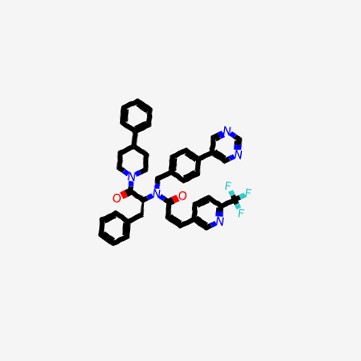 O=C([C@H](Cc1ccccc1)N(Cc1ccc(-c2cncnc2)cc1)C(=O)/C=C\c1ccc(C(F)(F)F)nc1)N1CCC(c2ccccc2)CC1